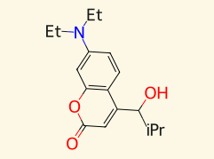 CCN(CC)c1ccc2c(C(O)C(C)C)cc(=O)oc2c1